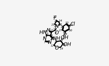 O=C(c1n[nH]c2ncnc(N[C@@H]3COC[C@@H](O)[C@H]3O)c12)N1C[C@@H](F)C[C@@H]1c1cc(F)cc(Cl)c1